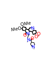 COc1cc2c(=O)n(CCN(C)C(=O)C3CCN(C)CC3)c3c4cc5c(cc4ncc3c2cc1OC)OCO5